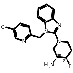 N[C@@H]1CN(c2nc3ccccc3n2Cc2ccc(Cl)cn2)CC[C@H]1F